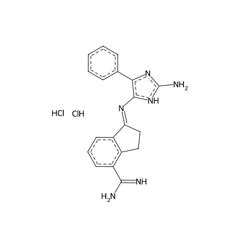 Cl.Cl.N=C(N)c1cccc2c1CCC2=Nc1[nH]c(N)nc1-c1ccccc1